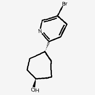 O[C@H]1CC[C@H](c2ccc(Br)cn2)CC1